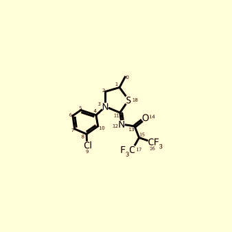 CC1CN(c2cccc(Cl)c2)C(=NC(=O)C(C(F)(F)F)C(F)(F)F)S1